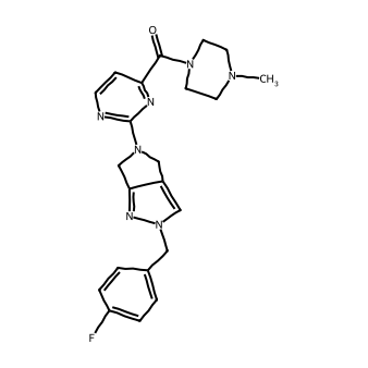 CN1CCN(C(=O)c2ccnc(N3Cc4cn(Cc5ccc(F)cc5)nc4C3)n2)CC1